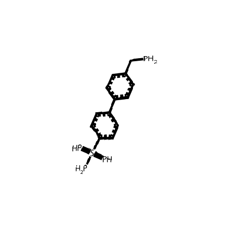 P=S(=P)(P)c1ccc(-c2ccc(CP)cc2)cc1